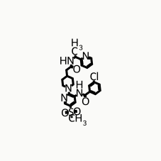 CC(NC(=O)CC1CCN(c2ncc(S(C)(=O)=O)cc2NC(=O)c2cccc(Cl)c2)CC1)c1ccccn1